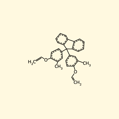 C=COc1ccc(C2(c3ccc(OC=C)c(C)c3)c3ccccc3-c3ccccc32)cc1C